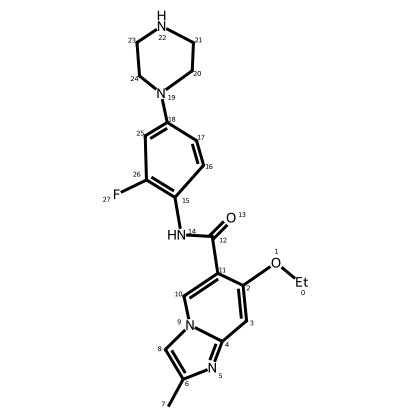 CCOc1cc2nc(C)cn2cc1C(=O)Nc1ccc(N2CCNCC2)cc1F